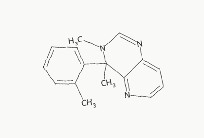 Cc1ccccc1C1(C)c2ncccc2N=CN1C